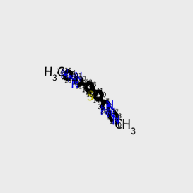 CN1CCN(c2ncc(-c3ccc4c(c3)sc3cc(-c5cnc(N6CCN(C)CC6)nc5)ccc34)cn2)CC1